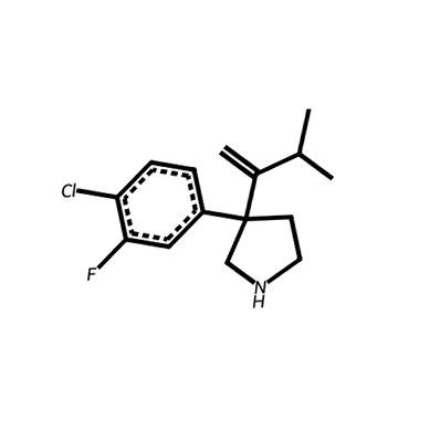 C=C(C(C)C)C1(c2ccc(Cl)c(F)c2)CCNC1